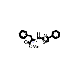 COC(=O)/C(Cc1ccccc1)=N/Nc1nc(-c2ccccc2)cs1